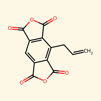 C=CCc1c2c(=O)oc(=O)c2cc2c(=O)oc(=O)c12